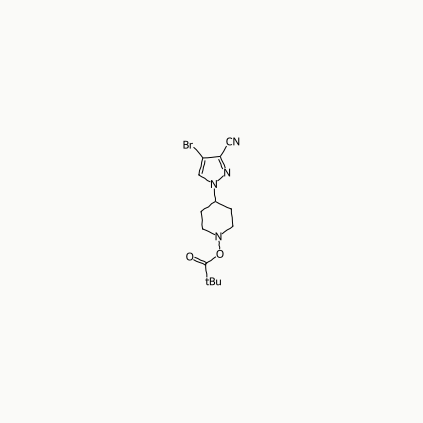 CC(C)(C)C(=O)ON1CCC(n2cc(Br)c(C#N)n2)CC1